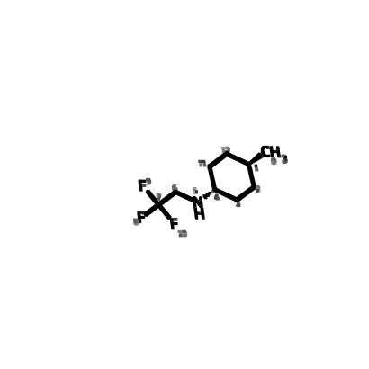 C[C@H]1CC[C@H](NCC(F)(F)F)CC1